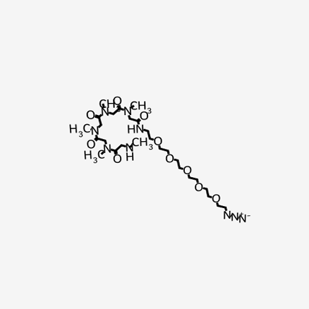 CNCC(=O)N(C)CC(=O)N(C)CC(=O)N(C)CC(=O)N(C)CC(=O)NCCOCCOCCOCCOCCOCCN=[N+]=[N-]